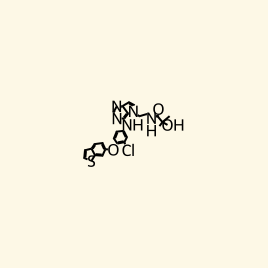 CC(C)(O)C(=O)NCCn1ccc2ncnc(Nc3ccc(Oc4ccc5ccsc5c4)c(Cl)c3)c21